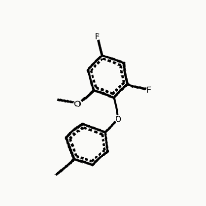 COc1cc(F)cc(F)c1Oc1ccc(C)cc1